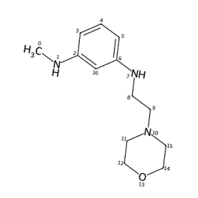 CNc1cccc(NCCN2CCOCC2)c1